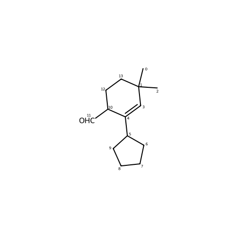 CC1(C)C=C(C2CCCC2)C(C=O)CC1